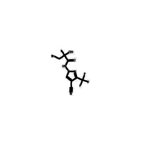 CC(O)(CBr)C(=O)Nn1cc(C#N)c(C(F)(F)F)n1